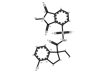 CCC1(C(=O)NS(=O)(=O)c2cccc3c2C(=O)N(C)C3=O)CCc2c(Cl)cccc21